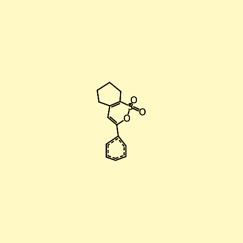 O=S1(=O)OC(c2ccccc2)=CC2=C1CCCC2